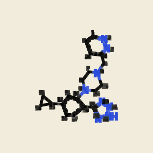 c1cnnc(CN2CCN(c3cc(C4CC4)ccc3-c3nn[nH]n3)CC2)c1